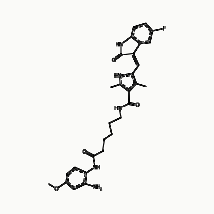 COc1ccc(NC(=O)CCCCCNC(=O)c2c(C)[nH]c(/C=C3\C(=O)Nc4ccc(F)cc43)c2C)c(N)c1